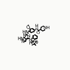 COc1cc(NC(=O)C2CCNCC2)ccc1Nc1nc(Nc2ccccc2S(=O)(=O)C(C)C)c2cn[nH]c2n1